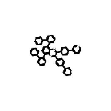 c1ccc(-c2ccccc2-c2ccc(-c3ccccc3-c3ccccc3)c3nc(-c4ccc(-c5cccnc5)cc4)c(-c4ccc(-c5cccnc5)cc4)nc23)cc1